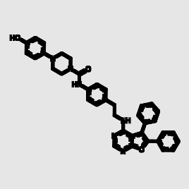 O=C(Nc1ccc(CCNc2ncnc3oc(-c4ccccc4)c(-c4ccccc4)c23)cc1)N1CCN(c2ccc(O)cc2)CC1